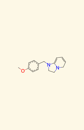 COc1ccc(CN2CCN3CC=CC=C32)cc1